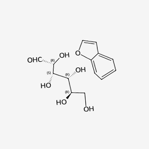 O=C[C@H](O)[C@@H](O)[C@H](O)[C@H](O)CO.c1ccc2occc2c1